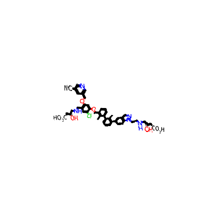 Cc1c(COc2cc(OCc3cncc(C#N)c3)c(CNC[C@@H](O)CC(=O)O)cc2Cl)cccc1-c1cccc(-c2ccc3c(cnn3CCNC[C@@H](O)CC(=O)O)c2)c1C